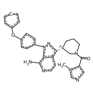 Cn1cncc1C(=O)N1CCC[C@@H](c2nn(-c3ccc(Oc4ccccc4)cc3)c3c(N)nccc23)C1